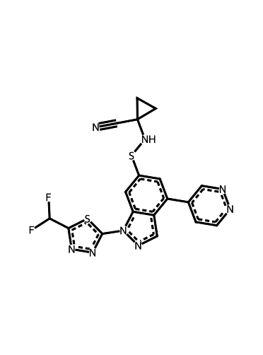 N#CC1(NSc2cc(-c3ccnnc3)c3cnn(-c4nnc(C(F)F)s4)c3c2)CC1